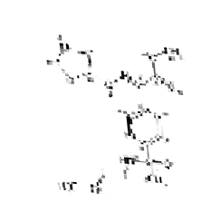 C=S(=O)(NCCOC)c1ccc(/C(=N\O[C@@H]2CCOC2)C(=O)OC)cc1